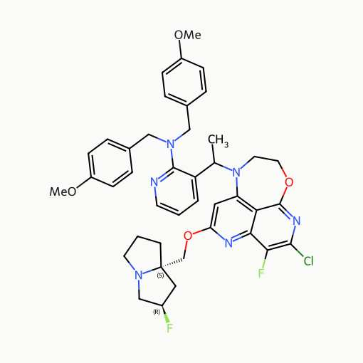 COc1ccc(CN(Cc2ccc(OC)cc2)c2ncccc2C(C)N2CCOc3nc(Cl)c(F)c4nc(OC[C@@]56CCCN5C[C@H](F)C6)cc2c34)cc1